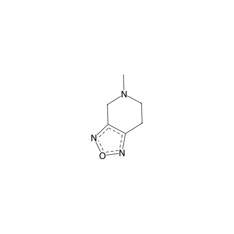 CN1CCc2nonc2C1